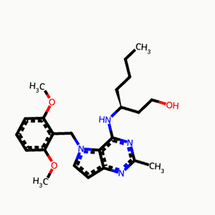 CCCC[C@@H](CCO)Nc1nc(C)nc2ccn(Cc3c(OC)cccc3OC)c12